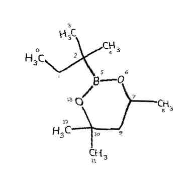 CCC(C)(C)B1OC(C)CC(C)(C)O1